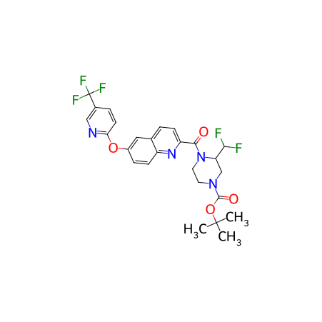 CC(C)(C)OC(=O)N1CCN(C(=O)c2ccc3cc(Oc4ccc(C(F)(F)F)cn4)ccc3n2)C(C(F)F)C1